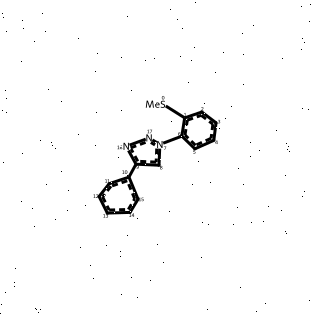 CSc1ccccc1-n1cc(-c2ccccc2)nn1